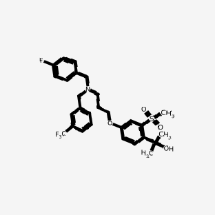 CC(C)(O)c1ccc(OCCCN(Cc2ccc(F)cc2)Cc2cccc(C(F)(F)F)c2)cc1S(C)(=O)=O